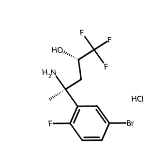 C[C@](N)(C[C@H](O)C(F)(F)F)c1cc(Br)ccc1F.Cl